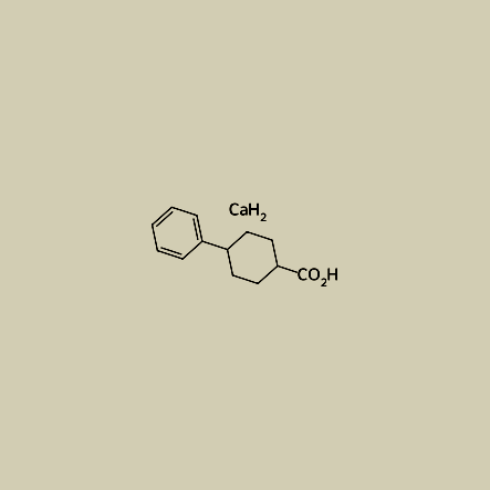 O=C(O)C1CCC(c2ccccc2)CC1.[CaH2]